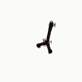 O=CCCOCC(COCCC(=O)NCCOCCOCCOCCOCCC(=O)ON1C(=O)CCC1=O)(COCCC(=O)NCCOCCOCCOCCOCCC(=O)ON1C(=O)CCC1=O)NC(=O)CCOCCOCCOCCOCCOCCOCCOCCOCCOCCOCCOCCOCCNC(=O)CCNC(=O)CCC=O